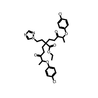 CCOC(=O)C(CCC(=O)C(C)Oc1ccc(Cl)cc1)(CCC(=O)C(C)Oc1ccc(Cl)cc1)CCn1cncn1